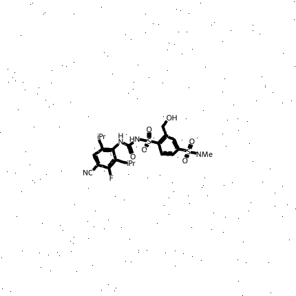 CNS(=O)(=O)c1ccc(S(=O)(=O)NC(=O)Nc2c(C(C)C)cc(C#N)c(F)c2C(C)C)c(CO)c1